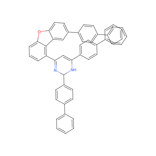 C1=C(c2ccc(-c3ccccc3)cc2)NC(c2ccc(-c3ccccc3)cc2)N=C1c1cccc2oc3ccc(-c4ccc(-c5ccccc5)cc4)cc3c12